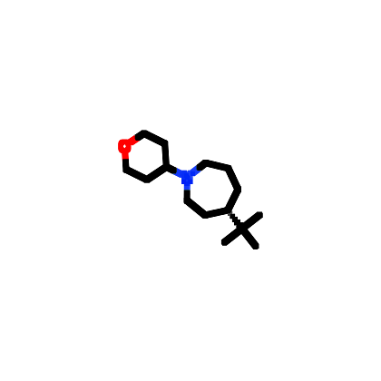 CC(C)(C)[C@H]1CCCN(C2CCOCC2)CC1